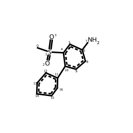 CS(=O)(=O)c1cc(N)ccc1-c1ccccc1